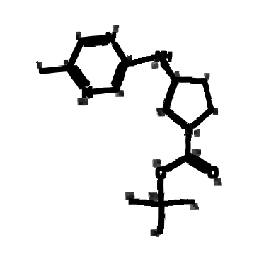 Cc1cnc(N[C@H]2CCN(C(=O)OC(C)(C)C)C2)cn1